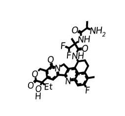 CCC1(O)C(=O)OCc2c1cc1n(c2=O)Cc2c-1nc1cc(F)c(C)c3c1c2C(NC(=O)C(C)(NC(=O)C(C)N)C(F)F)CC3